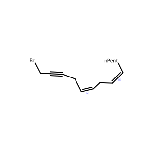 CCCCC/C=C\C/C=C\CC#CCBr